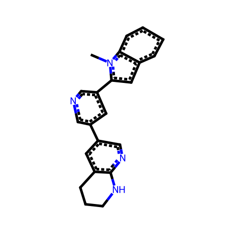 Cn1c(-c2cncc(-c3cnc4c(c3)CCCN4)c2)cc2ccccc21